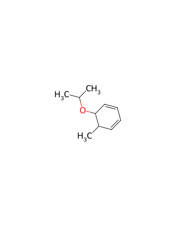 CC(C)OC1C=CC=CC1C